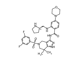 CC1(C)CN(S(=O)(=O)c2cc(F)cc(F)c2)Cc2c(NC(=O)c3ccc(N4CCOCC4)cc3NC[C@H]3CCCN3)n[nH]c21